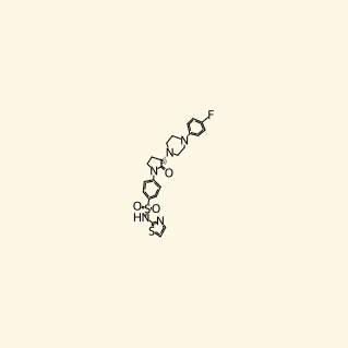 O=C1[C@@H](N2CCN(c3ccc(F)cc3)CC2)CCN1c1ccc(S(=O)(=O)Nc2nccs2)cc1